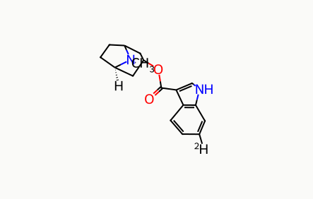 [2H]c1ccc2c(C(=O)OC3CC4CC[C@H](C3)N4C)c[nH]c2c1